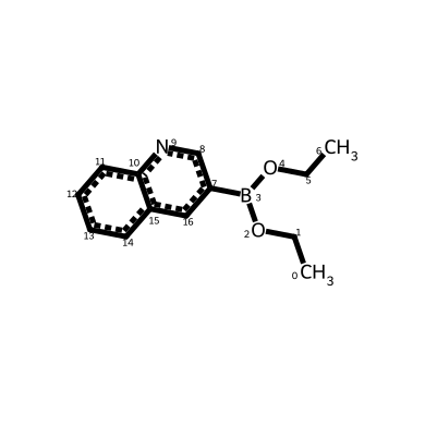 CCOB(OCC)c1cnc2ccccc2c1